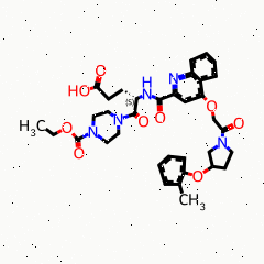 CCOC(=O)N1CCN(C(=O)[C@H](CCC(=O)O)NC(=O)c2cc(OCC(=O)N3CCC(Oc4ccccc4C)C3)c3ccccc3n2)CC1